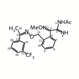 CO/N=C(/C(=N)NC(C)=O)c1ccccc1CO/N=C(/C)c1cccc(C(F)(F)F)c1